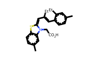 CCC(=Cc1ccc(C)cc1CC)C=C1Sc2ccc(C)cc2N1CC(=O)O